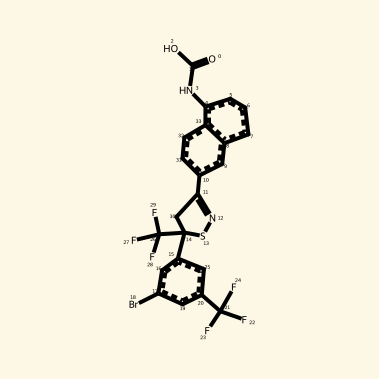 O=C(O)Nc1cccc2cc(C3=NSC(c4cc(Br)cc(C(F)(F)F)c4)(C(F)(F)F)C3)ccc12